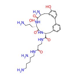 NCCC[C@H](N)CNC(=O)CCNC(=O)[C@@H]1Cc2cccc(c2)-c2ccc(O)c(c2)C[C@H](N)C(=O)N[C@@H](C[C@@H](O)CN)C(=O)N1